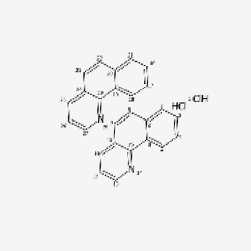 Cl.Cl.c1ccc2c(c1)ccc1cccnc12.c1ccc2c(c1)ccc1cccnc12